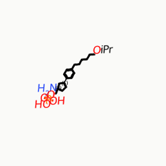 CC(C)OCCCCCCc1ccc([C@H]2CC[C@](N)(COP(=O)(O)O)C2)cc1